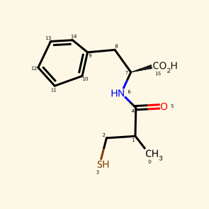 CC(CS)C(=O)N[C@@H](Cc1ccccc1)C(=O)O